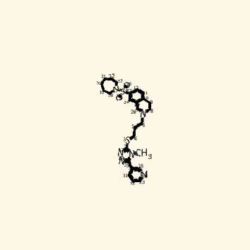 Cn1c(SCCCN2CCc3ccc(S(=O)(=O)N4CCCCCC4)cc3C2)nnc1-c1cccnc1